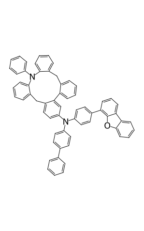 c1ccc(-c2ccc(N(c3ccc(-c4cccc5c4oc4ccccc45)cc3)c3ccc4c(c3)-c3ccccc3Cc3ccccc3N(c3ccccc3)c3ccccc3C4)cc2)cc1